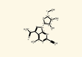 C#Cc1nc(N)c2c(C(N)=O)cn([C@@H]3O[C@H](CO)[C@@H](O)[C@H]3O)c2n1